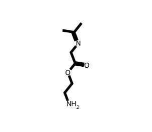 CC(C)=NCC(=O)OCCN